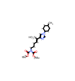 CC1CCC(n2cnc(/C(=C/CCCN(C(=O)OC(C)(C)C)C(=O)OC(C)(C)C)C(=O)O)c2)CC1